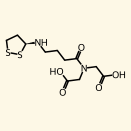 O=C(O)CN(CC(=O)O)C(=O)CCCN[C@@H]1CCSS1